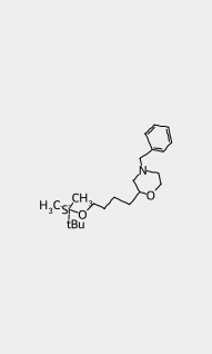 CC(C)(C)[Si](C)(C)OCCCCC1CN(Cc2ccccc2)CCO1